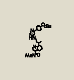 CNC(=O)c1ccnc2c(C(C)CCNc3cc(-c4ccc(OC(C)(C)C)cc4)ncn3)cccc12